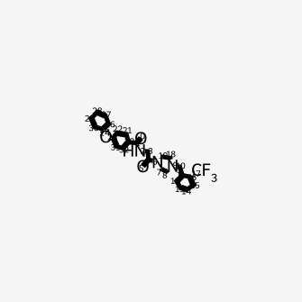 O=C(NCC(=O)N1CCN(Cc2ccccc2C(F)(F)F)CC1)c1ccc(Oc2ccccc2)cc1